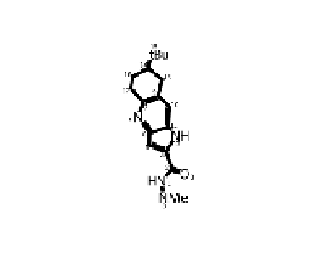 CNNC(=O)c1cc2nc3c(cc2[nH]1)CC(C(C)(C)C)CC3